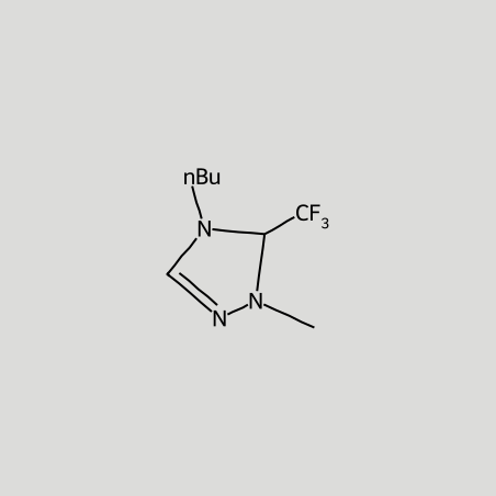 CCCCN1C=NN(C)C1C(F)(F)F